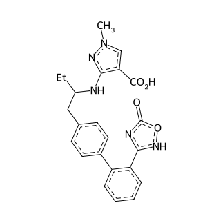 CCC(Cc1ccc(-c2ccccc2-c2nc(=O)o[nH]2)cc1)Nc1nn(C)cc1C(=O)O